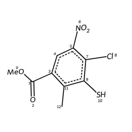 COC(=O)c1cc([N+](=O)[O-])c(Cl)c(S)c1C